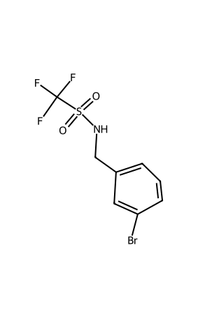 O=S(=O)(NCc1cccc(Br)c1)C(F)(F)F